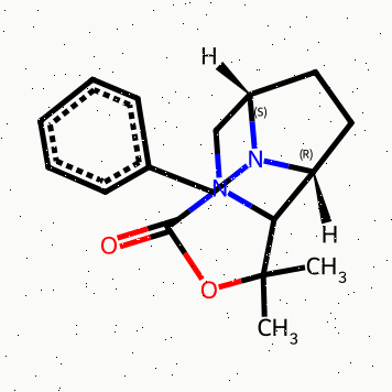 CC1(C)OC(=O)N2C[C@@H]3CC[C@H](C21)N3Cc1ccccc1